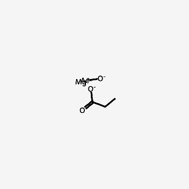 CC(=O)[O-].CCC(=O)[O-].[Mg+2]